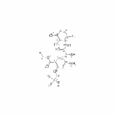 CCOC(=O)c1cc(N(S)C(=O)Nc2c(F)ccc(Cl)c2Cl)c(N)cc1OCC(F)(F)F